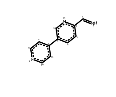 N=Cc1ccc(-c2ccncc2)cn1